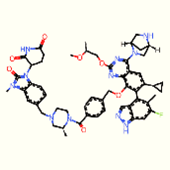 COC(C)COc1nc(N2C[C@@H]3C[C@H]2CN3)c2cc(C3CC3)c(-c3c(C)c(F)cc4[nH]ncc34)c(OCc3ccc(C(=O)N4CCN(Cc5ccc6c(c5)n(C)c(=O)n6C5CCC(=O)NC5=O)C[C@@H]4C)cc3)c2n1